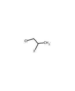 [CH2]C(F)CCl